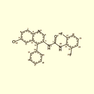 O=C(Nc1cnc2ccc(Cl)cc2c1-c1ccccc1)Nc1c(F)cccc1F